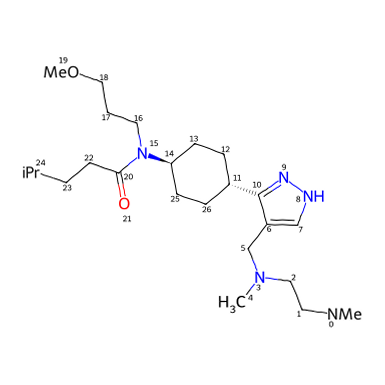 CNCCN(C)Cc1c[nH]nc1[C@H]1CC[C@H](N(CCCOC)C(=O)CCC(C)C)CC1